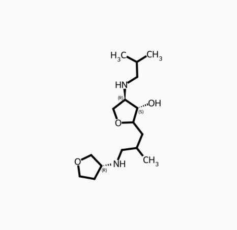 CC(C)CN[C@@H]1COC(CC(C)CN[C@@H]2CCOC2)[C@H]1O